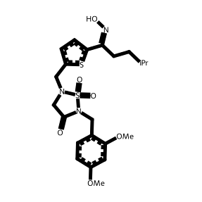 COc1ccc(CN2C(=O)CN(Cc3ccc(/C(CCC(C)C)=N\O)s3)S2(=O)=O)c(OC)c1